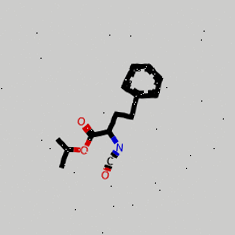 CC(C)OC(=O)C(CCc1ccccc1)N=C=O